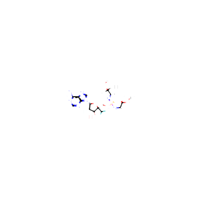 CC(C)OC(=O)[C@H](C)NP(=S)(N[C@@H](C)C(C)(C)OC(C)C)OC[C@@]1(C(F)F)O[C@@H](n2cnc3c(N)ncnc32)[C@@H](F)[C@@H]1O